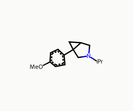 COc1ccc(C23CC2CN(C(C)C)C3)cc1